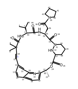 CC(C)[C@@H]1NC(=O)C(C)(C)/C=C/c2ccc3ccc(nc3c2)[C@@H](C)OC(=O)C2CCCN(N2)C(=O)[C@H](CC(=O)N2CCCC2)NC1=O